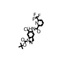 CC(C)(C)OC(=O)n1ncc2cc(NC(=O)c3cccc(C(F)(F)F)n3)c(Cl)cc21